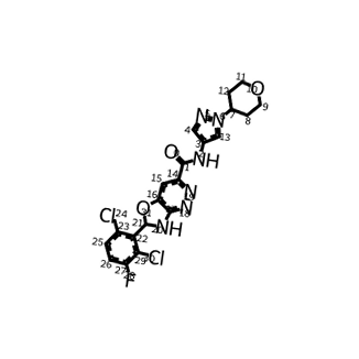 O=C(Nc1cnn(C2CCOCC2)c1)c1cc2c(nn1)NC(c1c(Cl)ccc(F)c1Cl)O2